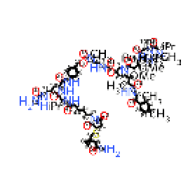 CC[C@H](C)[C@@H]([C@@H](CC(=O)N1C[C@@H](OC(=O)NCCN(C)C(=O)OCc2ccc(NC(=O)[C@H](CCCNC(N)=O)NC(=O)[C@@H](NC(=O)CCCCCN3C(=O)CC(SCC4(CC(N)=O)CC4)C3=O)C(C)C)cc2)C[C@H]1[C@H](OC)[C@@H](C)C(=O)NCC(=O)c1ccc(C)cc1C)OC)N(C)C(=O)[C@@H](NC(=O)[C@H](C(C)C)N(C)C)C(C)C